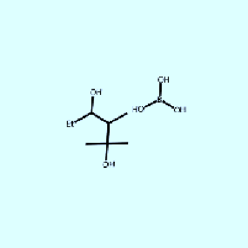 CCC(O)C(C)C(C)(C)O.OB(O)O